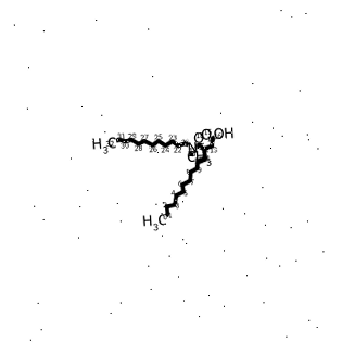 CCCCCCCCCC/C=C/C(CC(=O)O)C(=O)N(C)CCCCCCCCCCCC